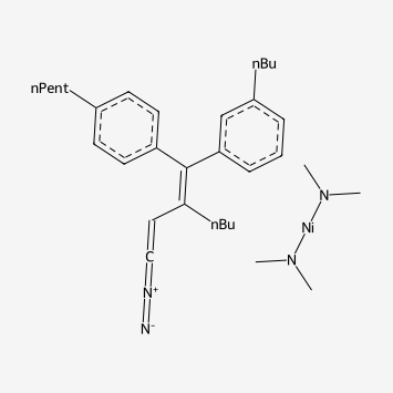 CCCCCc1ccc(C(=C(C=C=[N+]=[N-])CCCC)c2cccc(CCCC)c2)cc1.C[N](C)[Ni][N](C)C